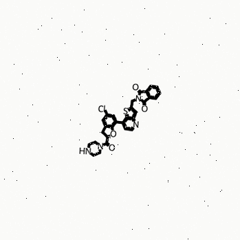 O=C(C1Cc2cc(Cl)cc(-c3ccnc4cc(CN5C(=O)c6ccccc6C5=O)sc34)c2O1)N1CCNCC1